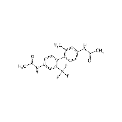 CC(=O)Nc1ccc(-c2ccc(NC(C)=O)cc2C(F)(F)F)c(C)c1